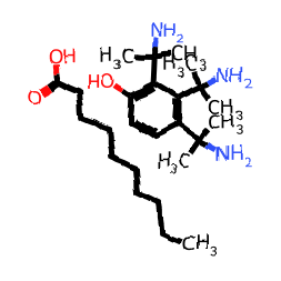 CC(C)(N)c1ccc(O)c(C(C)(C)N)c1C(C)(C)N.CCCCCCCCCC(=O)O